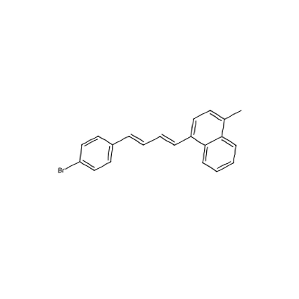 Cc1ccc(/C=C/C=C/c2ccc(Br)cc2)c2ccccc12